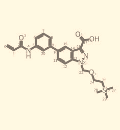 C=CC(=O)Nc1cccc(-c2ccc3c(c2)c(C(=O)O)nn3COCC[Si](C)(C)C)c1